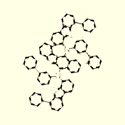 c1ccc(-c2cccc(N(c3cccc4c3oc3c(-c5ccccc5)cccc34)c3c4ccccc4c(N(c4cccc(-c5ccccc5)c4)c4cccc5c4oc4c(-c6ccccc6)cccc45)c4c3oc3ccccc34)c2)cc1